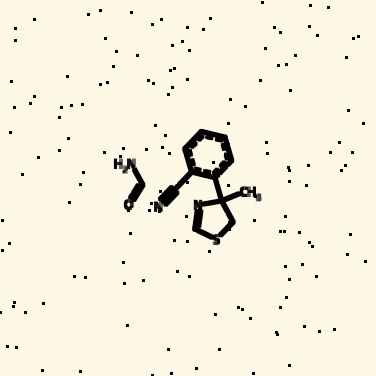 CC1(c2ccccc2C#N)CSC=N1.NC=O